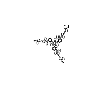 C=CC(=O)OCCOC(=O)Nc1cccc(-n2c(=O)n(-c3cccc(NC(=O)OCCOC(=O)C=C)c3C)c(=O)n(-c3cccc(NC(=O)OCCOC(=O)C=C)c3C)c2=O)c1C